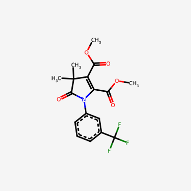 COC(=O)C1=C(C(=O)OC)C(C)(C)C(=O)N1c1cccc(C(F)(F)F)c1